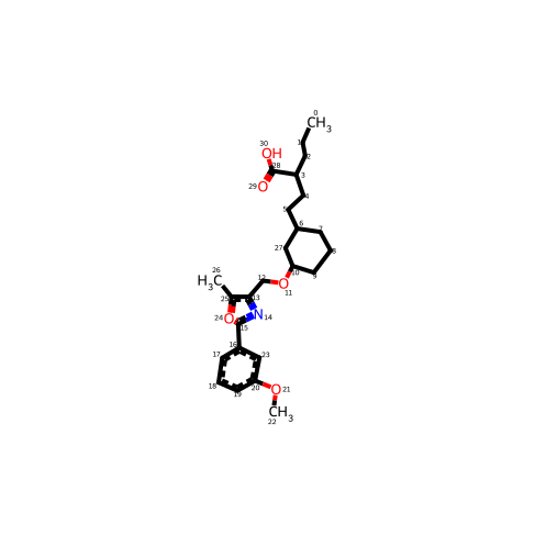 CCCC(CCC1CCCC(OCc2nc(-c3cccc(OC)c3)oc2C)C1)C(=O)O